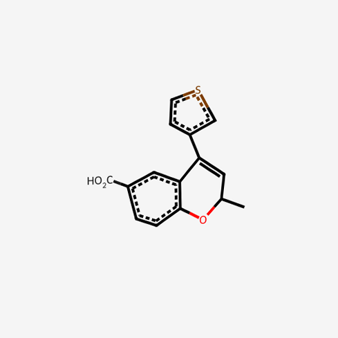 CC1C=C(c2ccsc2)c2cc(C(=O)O)ccc2O1